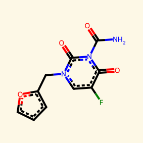 NC(=O)n1c(=O)c(F)cn(Cc2ccco2)c1=O